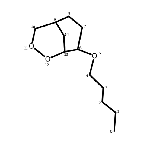 CCCCCOC1CCC2COOC1C2